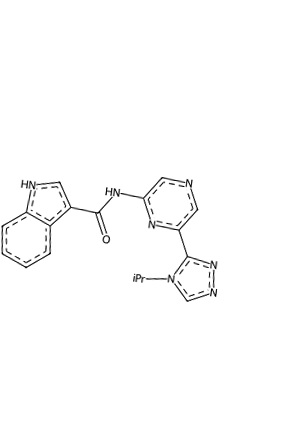 CC(C)n1cnnc1-c1cncc(NC(=O)c2c[nH]c3ccccc23)n1